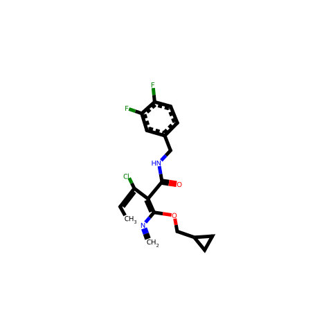 C=N/C(OCC1CC1)=C(C(=O)NCc1ccc(F)c(F)c1)\C(Cl)=C/C